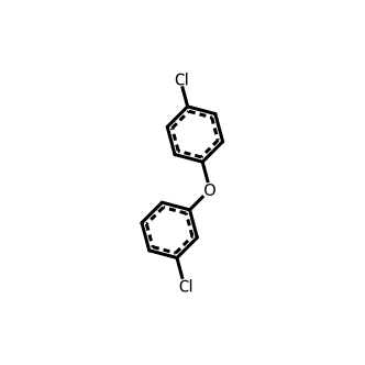 Clc1ccc(Oc2cccc(Cl)c2)cc1